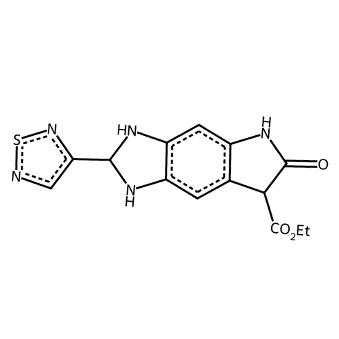 CCOC(=O)C1C(=O)Nc2cc3c(cc21)NC(c1cnsn1)N3